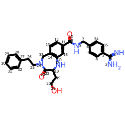 N=C(N)c1ccc(CNC(=O)c2ccc3c(c2)NC(CCO)C(=O)N(CCc2ccccc2)C3)cc1